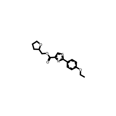 CCOc1ccc(-c2nc(C(=O)OCC3CCCO3)cs2)cc1